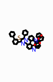 c1ccc(-c2ccccc2-c2ccccc2-c2c(-c3nc(-c4ccccc4)c4sc5c(-c6ccccc6)cccc5c4n3)ccc3c2-c2c4c(ccc2=N3)=c2ccccc2=N4)cc1